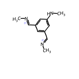 C/N=C/c1cc(/C=N/C)cc(NC)c1